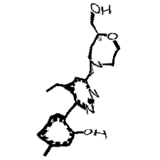 Cc1ccc(-c2nnc(N3CCO[C@H](CO)C3)cc2C)c(O)c1